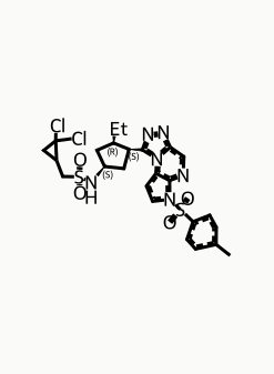 CC[C@@H]1C[C@H](NS(=O)(=O)CC2CC2(Cl)Cl)C[C@@H]1c1nnc2cnc3c(ccn3S(=O)(=O)c3ccc(C)cc3)n12